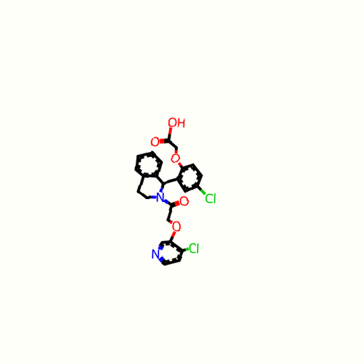 O=C(O)COc1ccc(Cl)cc1C1c2ccccc2CCN1C(=O)COc1cnccc1Cl